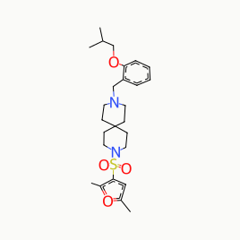 Cc1cc(S(=O)(=O)N2CCC3(CCN(Cc4ccccc4OCC(C)C)CC3)CC2)c(C)o1